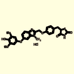 Cl.Cn1c(COc2ccc(CC3SC(=O)NC3=O)cc2)nc2ccc(Oc3cc(C(C)(C)C)c(O)c(C(C)(C)C)c3)cc21